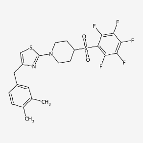 Cc1ccc(Cc2csc(N3CCC(S(=O)(=O)c4c(F)c(F)c(F)c(F)c4F)CC3)n2)cc1C